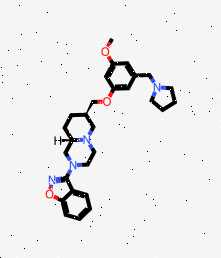 COc1cc(CN2CCCC2)cc(OC[C@@H]2CC[C@H]3CN(c4noc5ccccc45)CCN3C2)c1